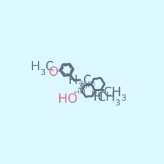 COc1cccc(CC[C@H]2[C@@H](CO)CC[C@H]3C(C)(C)CCC[C@]23C)c1